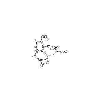 C=C(C)C(=O)[O-].O=C([O-])c1c([N+](=O)[O-])ccc2ccccc12.[Zn+2]